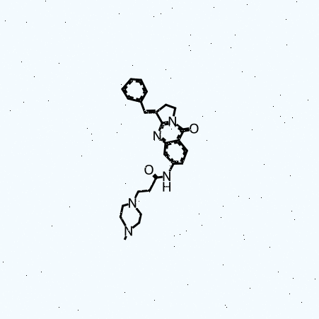 CN1CCN(CCC(=O)Nc2ccc3c(=O)n4c(nc3c2)C(=Cc2ccccc2)CC4)CC1